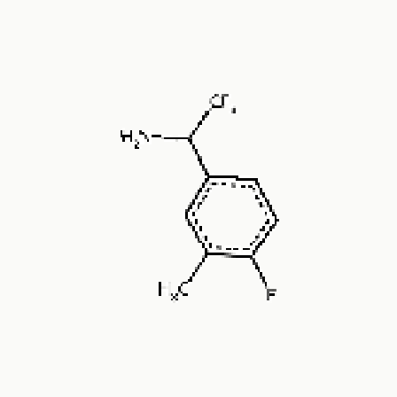 Cc1cc(C(N)C(F)(F)F)ccc1F